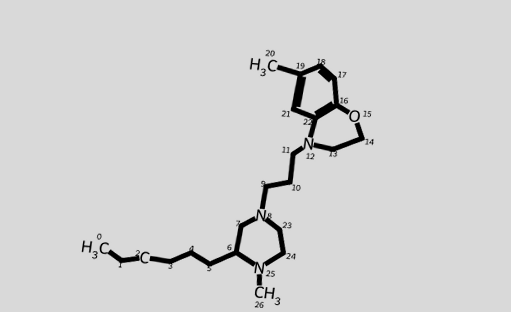 CCCCCCC1CN(CCCN2CCOc3ccc(C)cc32)CCN1C